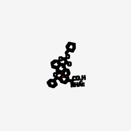 CCc1cc(C[C@H](NC(C)=O)C(=O)O)ccc1N(C(=O)C(=O)OCc1ccccc1)c1ccccc1C(=O)OC(c1ccccc1)c1ccccc1